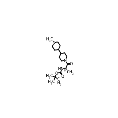 C[C@@H](NC(=O)OC(C)(C)C)C(=O)N1CCC(C2CCN(C)CC2)CC1